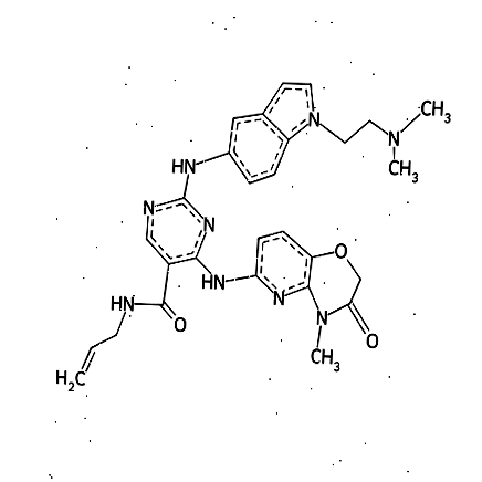 C=CCNC(=O)c1cnc(Nc2ccc3c(ccn3CCN(C)C)c2)nc1Nc1ccc2c(n1)N(C)C(=O)CO2